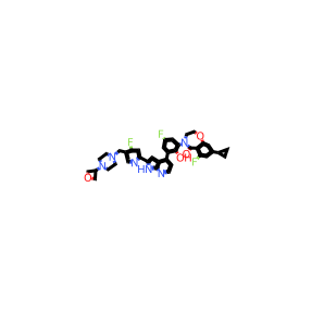 O=C1c2c(F)cc(C3CC3)cc2OCCN1c1cc(F)cc(-c2ccnc3[nH]c(-c4cc(F)c(CN5CCN(C6COC6)CC5)cn4)cc23)c1O